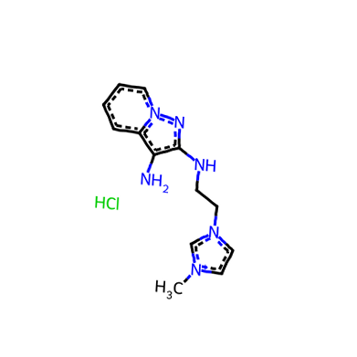 C[n+]1ccn(CCNc2nn3ccccc3c2N)c1.Cl